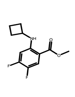 COC(=O)c1cc(F)c(F)cc1NC1CCC1